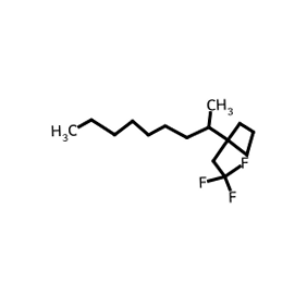 CCCCCCCC(C)C1(CC(F)(F)F)CCC1